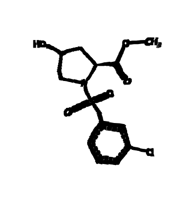 COC(=O)[C@@H]1C[C@H](O)CN1S(=O)(=O)c1cccc(Cl)c1